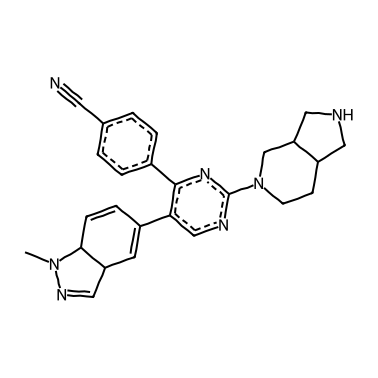 CN1N=CC2C=C(c3cnc(N4CCC5CNCC5C4)nc3-c3ccc(C#N)cc3)C=CC21